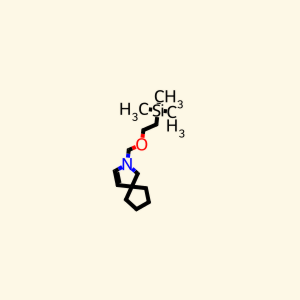 C[Si](C)(C)CCOCN1C=CC2(CCCC2)C1